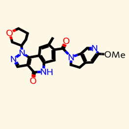 COc1cc2c(cn1)N(C(=O)c1cc3[nH]c(=O)c4cnn(C5CCCOC5)c4c3cc1C)CC2